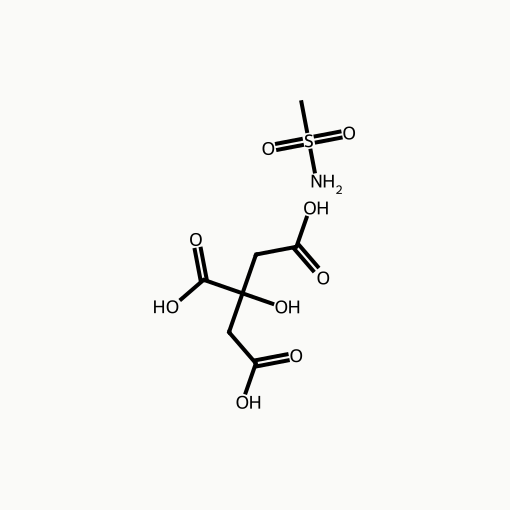 CS(N)(=O)=O.O=C(O)CC(O)(CC(=O)O)C(=O)O